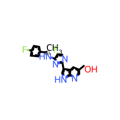 C[C@H](Nc1nc(-c2c[nH]c3ncc(CO)cc23)ncc1F)c1ccc(F)cc1